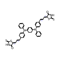 O=C1NC(=S)S/C1=C\C=C\c1ccc(N(C2=CC=C(N(C3=CCC(/C=C/C=C4\SC(=S)NC4=O)C=C3)c3ccccc3)CC2)c2ccccc2)cc1